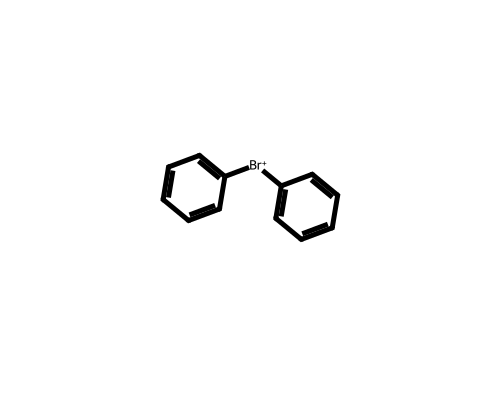 c1ccc([Br+]c2ccccc2)cc1